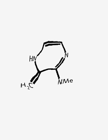 C=C1NC=CN=C1NC